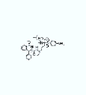 CC[C@@H](CCC[C@@](NCCC(C)C)(C(=O)O)S(=O)(=O)c1ccc(N)cc1)NC(=O)[C@@H](NC(=O)OC)C(c1ccccc1)c1ccccc1